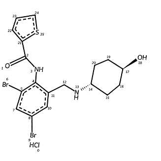 Cl.O=C(Nc1c(Br)cc(Br)cc1CN[C@H]1CC[C@H](O)CC1)c1cccs1